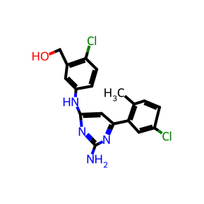 Cc1ccc(Cl)cc1-c1cc(Nc2ccc(Cl)c(CO)c2)nc(N)n1